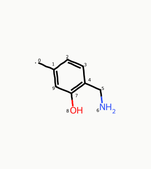 [CH2]c1ccc(CN)c(O)c1